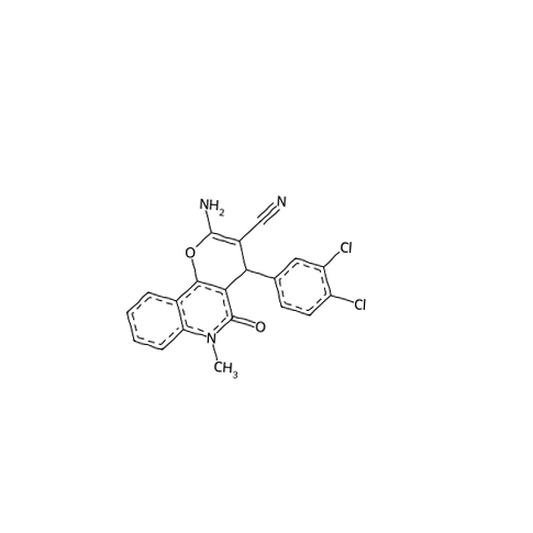 Cn1c(=O)c2c(c3ccccc31)OC(N)=C(C#N)C2c1ccc(Cl)c(Cl)c1